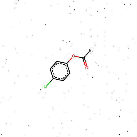 CCC(=O)Oc1ccc(Cl)cc1